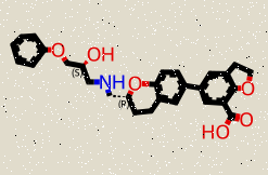 O=C(O)c1cc(-c2ccc3c(c2)CC[C@H](CNC[C@H](O)COc2ccccc2)O3)cc2c1OCC2